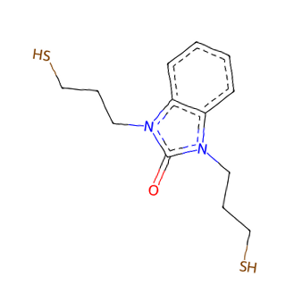 O=c1n(CCCS)c2ccccc2n1CCCS